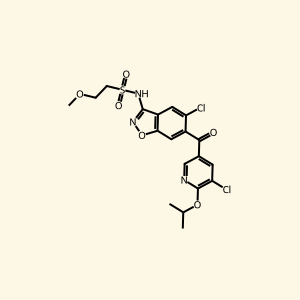 COCCS(=O)(=O)Nc1noc2cc(C(=O)c3cnc(OC(C)C)c(Cl)c3)c(Cl)cc12